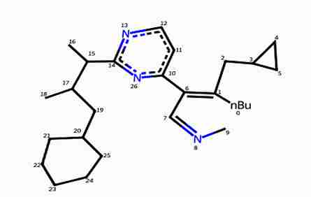 CCCC/C(CC1CC1)=C(\C=N/C)c1ccnc(C(C)C(C)CC2CCCCC2)n1